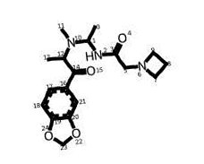 CC(NC(=O)CN1CCC1)N(C)C(C)C(=O)c1ccc2c(c1)OCO2